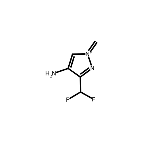 C=[N+]1C=C(N)C(C(F)F)=N1